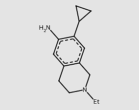 CCN1CCc2cc(N)c(C3CC3)cc2C1